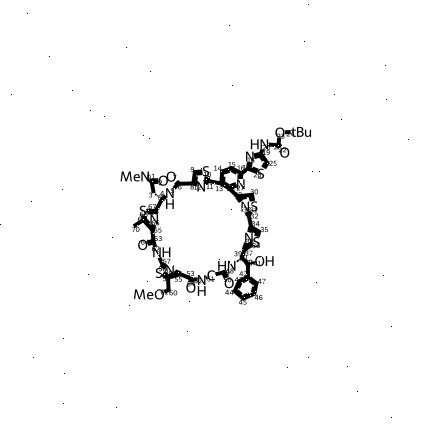 CNC(=O)C[C@@H]1NC(=O)c2csc(n2)-c2ccc(-c3nc(NC(=O)OC(C)(C)C)cs3)nc2-c2csc(n2)-c2csc(n2)[C@H]([C@@H](O)c2ccccc2)NC(=O)CNC(=O)c2nc(sc2COC)NC(=O)c2nc1sc2C